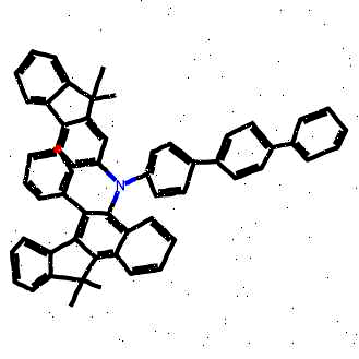 CC1(C)c2ccccc2-c2ccc(N(c3ccc(-c4ccc(-c5ccccc5)cc4)cc3)c3c(-c4ccccc4)c4c(c5ccccc35)C(C)(C)c3ccccc3-4)cc21